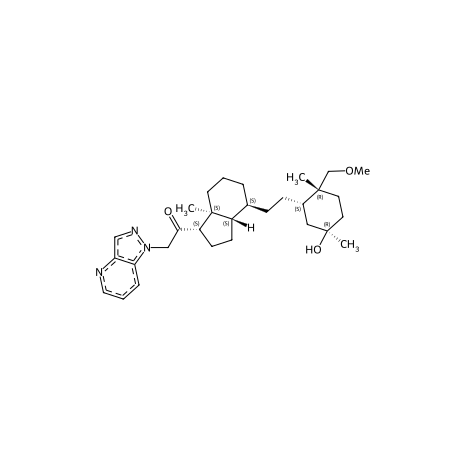 COC[C@]1(C)CC[C@@](C)(O)C[C@@H]1CC[C@@H]1CCC[C@]2(C)[C@@H](C(=O)Cn3ncc4ncccc43)CC[C@@H]12